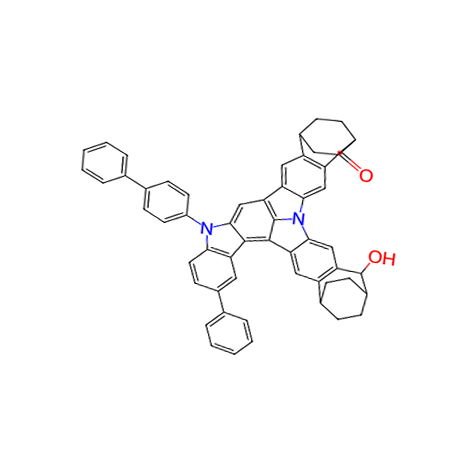 O=C1c2cc3c(cc2C2CCC1CC2)c1cc2c(c4cc(-c5ccccc5)ccc4n2-c2ccc(-c4ccccc4)cc2)c2c4cc5c(cc4n3c12)C(O)C1CCC5CC1